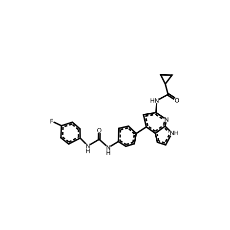 O=C(Nc1ccc(F)cc1)Nc1ccc(-c2cc(NC(=O)C3CC3)nc3[nH]ccc23)cc1